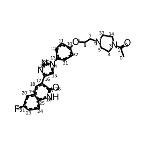 CC(=O)N1CCN(CCOc2ccc(-n3cc(-c4cc5cc(F)ccc5[nH]c4=O)nn3)cc2)CC1